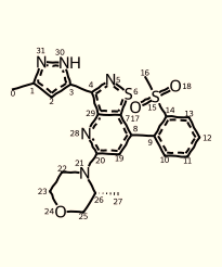 Cc1cc(-c2nsc3c(-c4ccccc4S(C)(=O)=O)cc(N4CCOC[C@H]4C)nc23)[nH]n1